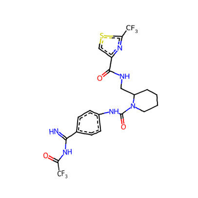 N=C(NC(=O)C(F)(F)F)c1ccc(NC(=O)N2CCCCC2CNC(=O)c2csc(C(F)(F)F)n2)cc1